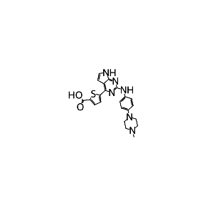 CN1CCN(c2ccc(Nc3nc(-c4ccc(C(=O)O)s4)c4cc[nH]c4n3)cc2)CC1